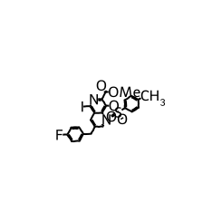 COC(=O)c1nc(I)c2cc(Cc3ccc(F)cc3)cnc2c1OS(=O)(=O)c1ccc(C)cc1